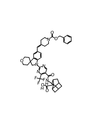 O=C(NC1(C(=O)O)C2CC3CC4CC1C34C2)c1cnc(N2CC3(CCOCC3)c3cc(C=C4CCN(C(=O)OCc5ccccc5)CC4)ccc32)nc1C(F)(F)F